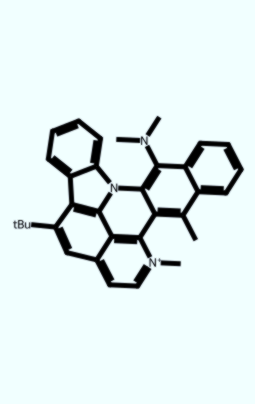 Cc1c2ccccc2c(N(C)C)c2c1c1c3c(cc[n+]1C)cc(C(C)(C)C)c1c4ccccc4n2c13